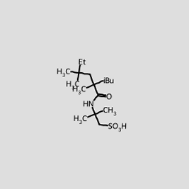 CCC(C)C(C)(CC(C)(C)CC)C(=O)NC(C)(C)CS(=O)(=O)O